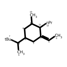 C/C=C1/CC(C(C)C(C)(C)C)CC(C)C1CCC